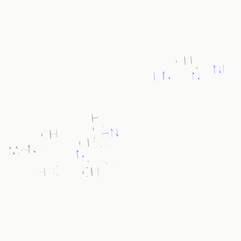 C=Cc1c(NCCCCCCCNC(=C)CN2CCNCC2)cccc1C(=C)N(C)C(C=C)CCC(=C)NC